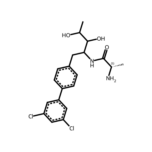 CC(O)C(O)C(Cc1ccc(-c2cc(Cl)cc(Cl)c2)cc1)NC(=O)[C@H](C)N